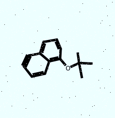 CC(C)(C)Oc1cccc2c#cccc12